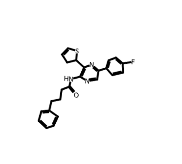 O=C(CCCc1ccccc1)Nc1ncc(-c2ccc(F)cc2)nc1C1CC=CS1